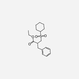 CCOC(=O)C(Cc1ccccc1)CS(=O)(=O)C1CCCCC1